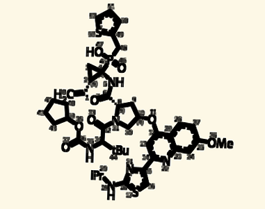 C=C[C@@H]1C[C@]1(NC(=O)[C@@H]1C[C@@H](Oc2cc(-c3csc(NC(C)C)n3)nc3cc(OC)ccc23)CN1C(=O)C(NC(=O)OC1CCCC1)C(C)(C)C)P(=O)(O)Cc1cccs1